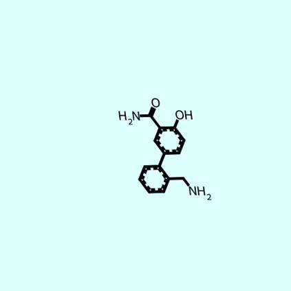 NCc1ccccc1-c1ccc(O)c(C(N)=O)c1